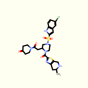 CC1Cc2nc(C(=O)N3CCN(S(=O)(=O)c4cc5cc(Cl)ccc5[nH]4)CC3CC(=O)N3CCC(=O)CC3)sc2CN1